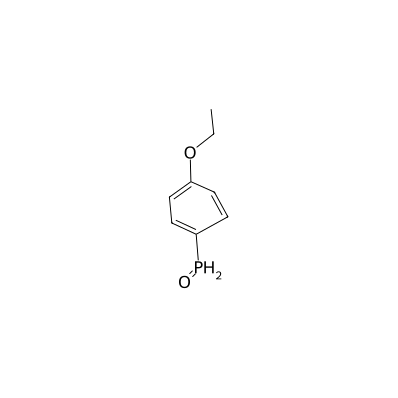 CCOc1ccc([PH2]=O)cc1